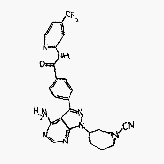 N#CN1CCCC(n2nc(-c3ccc(C(=O)Nc4cc(C(F)(F)F)ccn4)cc3)c3c(N)ncnc32)C1